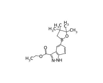 CCOC(=O)c1n[nH]c2ccc(B3CC(C)(C)C(C)(C)O3)cc12